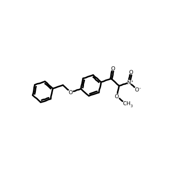 COC(C(=O)c1ccc(OCc2ccccc2)cc1)[N+](=O)[O-]